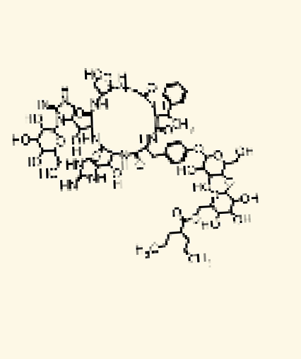 CCCC(CCC)C(=O)OCC1OC(OC2C(CO)OC(Oc3ccc(CC4NC(=O)C(C(C)c5ccccc5)NC(=O)CNC(=O)C(CO)NC(=O)C(C(O)C5CNC(=N)N5C5OC(CO)C(O)C(O)C5O)NC(=O)C(C(O)C5CNC(=N)N5)NC4=O)cc3)C(O)C2O)C(O)C(O)C1O